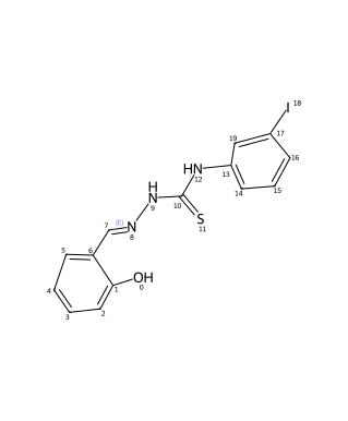 Oc1ccccc1/C=N/NC(=S)Nc1cccc(I)c1